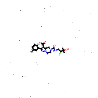 CC(C)(O)[C@H](F)CNC(=O)N1CCn2nc(-c3cccc(Cl)c3)c(C(N)=O)c2C1